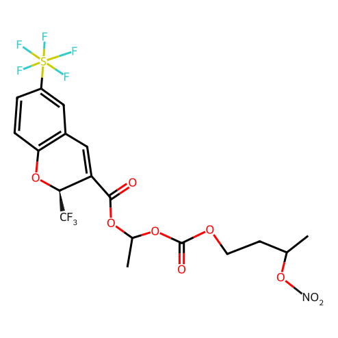 CC(CCOC(=O)OC(C)OC(=O)C1=Cc2cc(S(F)(F)(F)(F)F)ccc2O[C@@H]1C(F)(F)F)O[N+](=O)[O-]